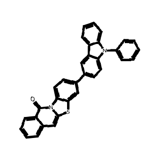 O=c1c2ccccc2cc2sc3cc(-c4ccc5c(c4)c4ccccc4n5-c4ccccc4)ccc3n12